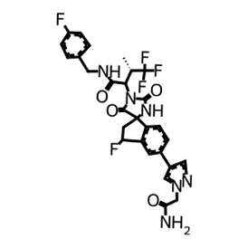 C[C@@H](C(C(=O)NCc1ccc(F)cc1)N1C(=O)NC2(CC(F)c3cc(-c4cnn(CC(N)=O)c4)ccc32)C1=O)C(F)(F)F